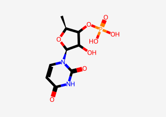 C[C@@H]1O[C@H](n2ccc(=O)[nH]c2=O)C(O)C1OP(=O)(O)O